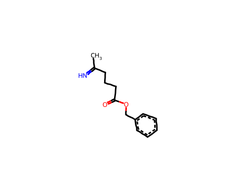 CC(=N)CCCC(=O)OCc1ccccc1